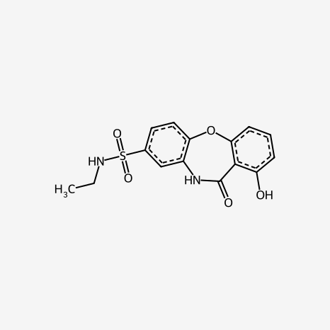 CCNS(=O)(=O)c1ccc2c(c1)NC(=O)c1c(O)cccc1O2